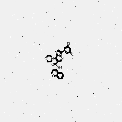 O=C(N[C@H]1CCOc2ccccc21)c1cnn2c(-c3cc(Cl)cc(Cl)c3)cnc2c1N1CCOCC1